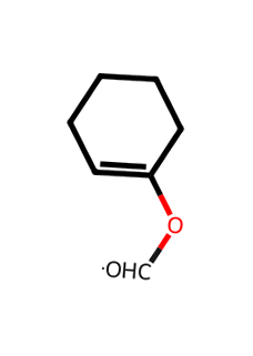 O=[C]OC1=CCCCC1